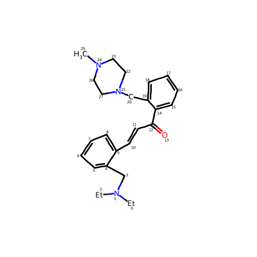 CCN(CC)Cc1ccccc1C=CC(=O)c1ccccc1CN1CCN(C)CC1